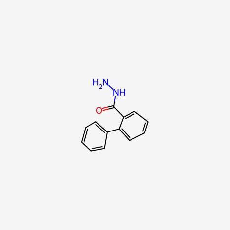 NNC(=O)c1ccccc1-c1ccccc1